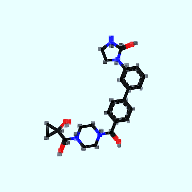 O=C(c1ccc(-c2cccc(N3CCNC3=O)c2)cc1)N1CCN(C(=O)C2(O)CC2)CC1